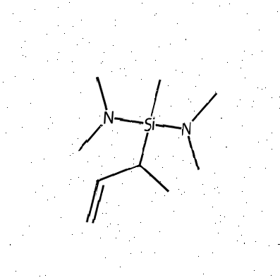 C=CC(C)[Si](C)(N(C)C)N(C)C